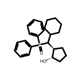 O=P(c1ccccc1)(c1ccccc1)C(C1CCCCC1)[C@H]1CCC[C@@H]1O